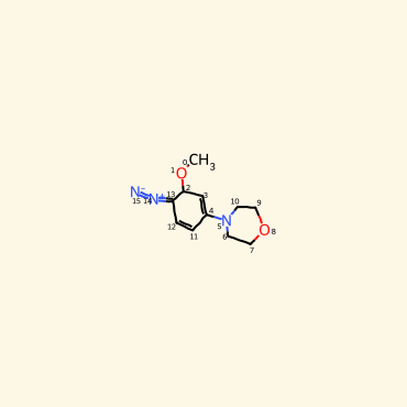 COC1C=C(N2CCOCC2)C=CC1=[N+]=[N-]